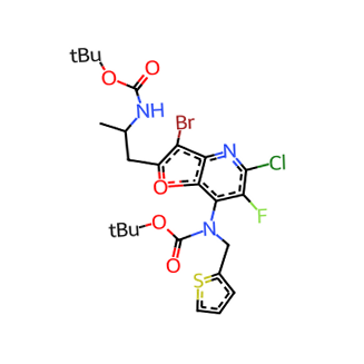 CC(Cc1oc2c(N(Cc3cccs3)C(=O)OC(C)(C)C)c(F)c(Cl)nc2c1Br)NC(=O)OC(C)(C)C